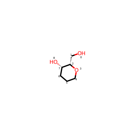 OC[C@@H]1OCCC[C@@H]1O